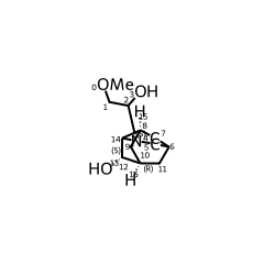 COCC(O)N1CC2C[C@H]3C[C@@H](C2)[C@H](O)C31